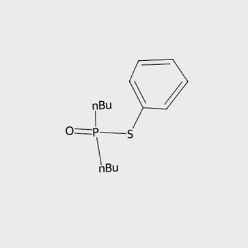 CCCCP(=O)(CCCC)Sc1ccccc1